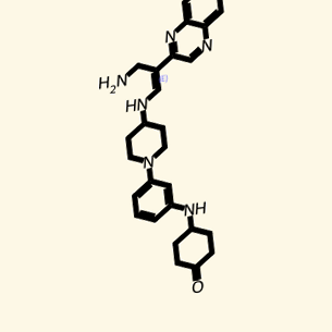 NC/C(=C\NC1CCN(c2cccc(NC3CCC(=O)CC3)c2)CC1)c1cnc2ccccc2n1